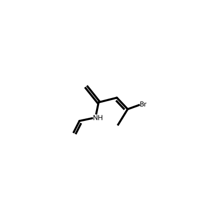 C=CNC(=C)/C=C(\C)Br